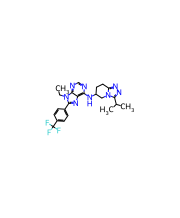 CCn1c(-c2ccc(C(F)(F)F)cc2)nc2c(NC3CCc4nnc(C(C)C)n4C3)ncnc21